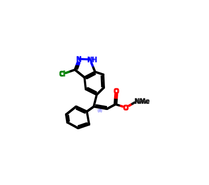 CNOC(=O)/C=C(/c1ccccc1)c1ccc2[nH]nc(Cl)c2c1